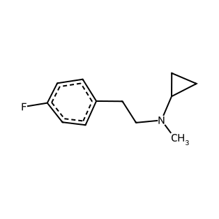 CN(CCc1ccc(F)cc1)C1CC1